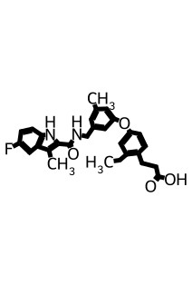 CCc1cc(Oc2cc(C)cc(CNC(=O)c3[nH]c4ccc(F)cc4c3C)c2)ccc1CCC(=O)O